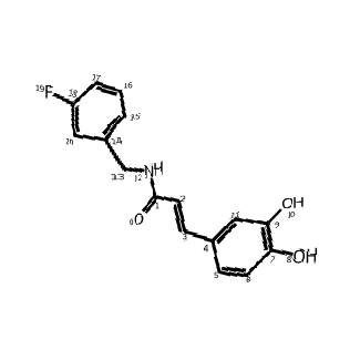 O=C(/C=C/c1ccc(O)c(O)c1)NCc1cccc(F)c1